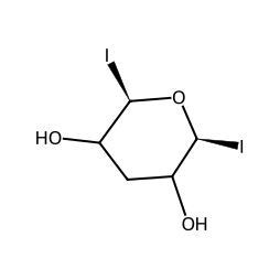 OC1CC(O)[C@@H](I)O[C@H]1I